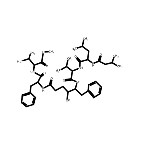 COC(=O)C(NC(=O)C(Cc1ccccc1)NC(=O)CCC(O)C(Cc1ccccc1)NC(=O)C(NC(=O)C(CC(C)C)NC(=O)CC(C)C)C(C)C)C(C)C